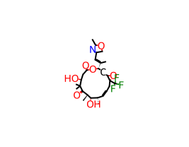 CC1=NC(/C=C(\C)[C@@H]2CC3OC3(C(F)(F)F)C/C=C/[C@H](C)[C@H](O)[C@@H](C)C(=O)C(C)(C)[C@@H](O)CC(=O)O2)CO1